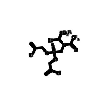 C=C(Cl)COP(=S)(CN(C(=O)C(F)(F)F)C(CC)C(=O)O)OCC(=C)Cl